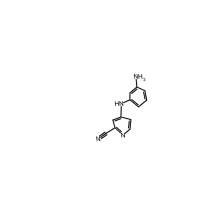 N#Cc1cc(Nc2cccc(N)c2)ccn1